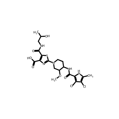 COC1CN(c2nc(C(=O)O)c(C(=O)NCC(C)O)s2)CCC1NC(=O)c1[nH]c(C)c(Cl)c1Cl